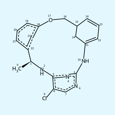 C[C@@H]1Nc2nc(ncc2Cl)NC2=CC=CC(COc3cccc1c3)C2